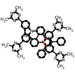 Cc1nc(C)nc(-c2ccc3c(c2)c2cc(-c4nc(C)nc(C)n4)ccc2n3-c2cccc(C#N)c2-c2c(-c3nc(-c4ccccc4)nc(-c4ccccc4)n3)cccc2-n2c3ccc(-c4nc(C)nc(C)n4)cc3c3cc(-c4nc(C)nc(C)n4)ccc32)n1